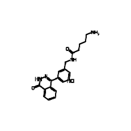 Cl.NCCCCC(=O)NCc1cccc(-c2n[nH]c(=O)c3ccccc23)c1